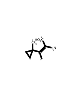 CC(=C(C#N)C(=O)O)C1(C(F)(F)F)CC1